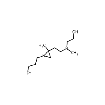 CC(C)CCCN1CC1(C)CCN(C)CCO